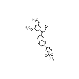 COc1cc(OC)cc(N(CC2CC2)c2ccc3ncc(-c4cnn(S(C)(=O)=O)c4)nc3c2)c1